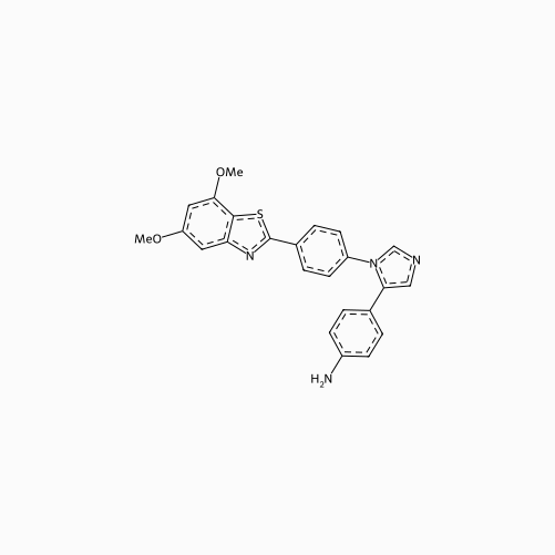 COc1cc(OC)c2sc(-c3ccc(-n4cncc4-c4ccc(N)cc4)cc3)nc2c1